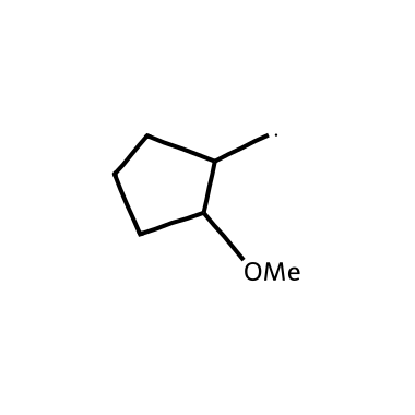 [CH2]C1CCCC1OC